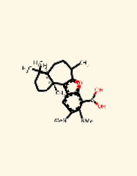 CNc1cc2c3c(oc2c(B(O)O)c1NC)C(C)CC[C@@H]1C(C)(C)CCC[C@@]31C